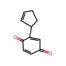 O=C1C=CC(=O)C(C2C=CCC2)=C1